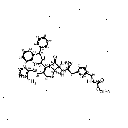 CO[C@@]1(NC(=O)Cc2ccc(CNC(=O)OC(C)(C)C)s2)C(=O)N2C(C(=O)OC(c3ccccc3)c3ccccc3)=C(CSc3nnnn3C)CS[C@@H]21